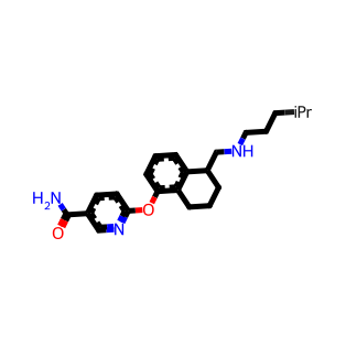 CC(C)CCCNCC1CCCc2c(Oc3ccc(C(N)=O)cn3)cccc21